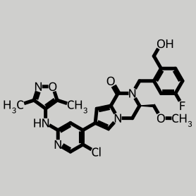 COC[C@H]1Cn2cc(-c3cc(Nc4c(C)noc4C)ncc3Cl)cc2C(=O)N1Cc1cc(F)ccc1CO